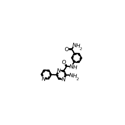 NC(=O)c1cccc(NC(=O)c2nc(-c3cccnc3)cnc2N)c1